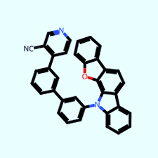 N#Cc1cnccc1-c1cccc(-c2cccc(-n3c4ccccc4c4ccc5c6ccccc6oc5c43)c2)c1